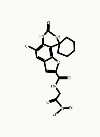 CCN(CC)C(=O)CNC(=O)c1cc2cc(Cl)c3c(c2o1)C1(CCCCC1)NC(=O)N3